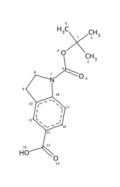 CC(C)(C)OC(=O)N1CCc2cc(C(=O)O)ccc21